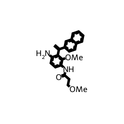 C=C(c1ccc2ccccc2c1)c1c(N)ccc(NC(=O)CCOC)c1OC